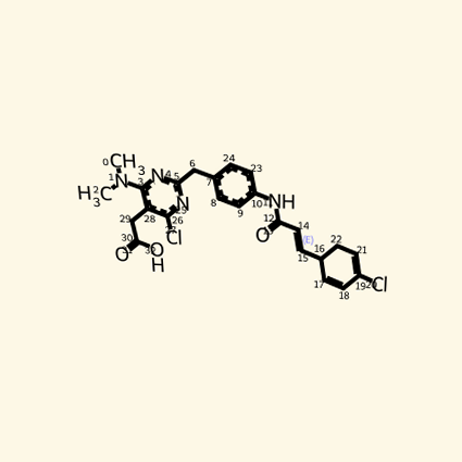 CN(C)c1nc(Cc2ccc(NC(=O)/C=C/C3C=CC(Cl)=CC3)cc2)nc(Cl)c1CC(=O)O